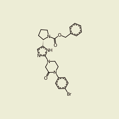 O=C1CN(c2ncc([C@@H]3CCCN3C(=O)OCc3ccccc3)[nH]2)CCN1c1ccc(Br)cc1